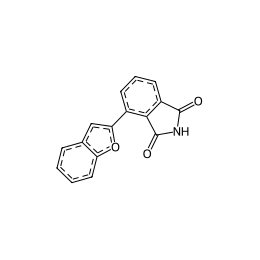 O=C1NC(=O)c2c1cccc2-c1cc2ccccc2o1